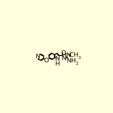 CNC(N)=NC(=O)c1cc2ccc(Oc3ccncc3)cc2[nH]1